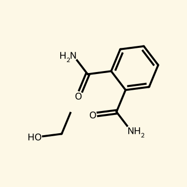 CCO.NC(=O)c1ccccc1C(N)=O